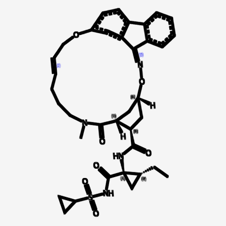 CC[C@@H]1C[C@]1(NC(=O)[C@@H]1C[C@@H]2C[C@H]1C(=O)N(C)CCC/C=C/COc1ccc3c(c1)/C(=N\O2)c1ccccc1-3)C(=O)NS(=O)(=O)C1CC1